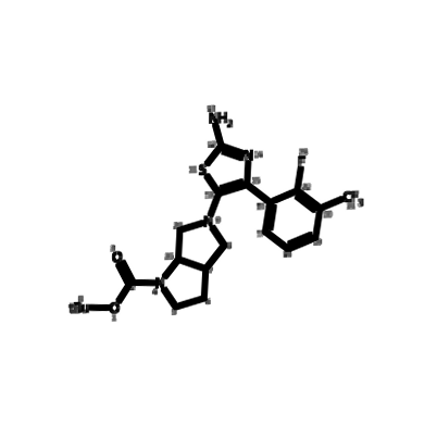 CC(C)(C)OC(=O)N1CCC2CN(c3sc(N)nc3-c3cccc(C(F)(F)F)c3F)CC21